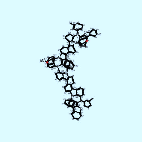 Cc1cccc(C(c2cccc3c2oc2ccccc23)c2cccc3c4c5ccc6c(c5ccc4n(-c4ccccc4)c23)c2cccc(N(c3ccc(C(C)(C)C)cc3)c3cccc4c5c7ccc8c(c7ccc5n(-c5ccccc5)c34)c3cccc(N(c4cccc(C)c4)c4cccc5c4oc4ccccc45)c3n8-c3ccccc3)c2n6-c2ccccc2)c1